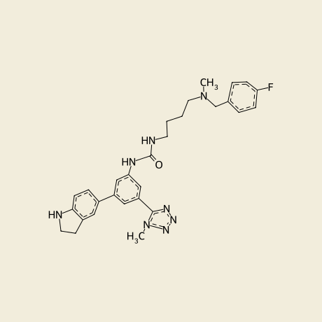 CN(CCCCNC(=O)Nc1cc(-c2ccc3c(c2)CCN3)cc(-c2nnnn2C)c1)Cc1ccc(F)cc1